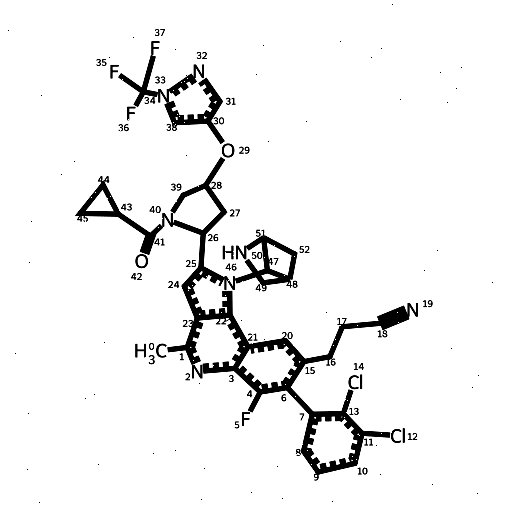 Cc1nc2c(F)c(-c3cccc(Cl)c3Cl)c(CCC#N)cc2c2c1cc(C1CC(Oc3cnn(C(F)(F)F)c3)CN1C(=O)C1CC1)n2C1C2CNC1C2